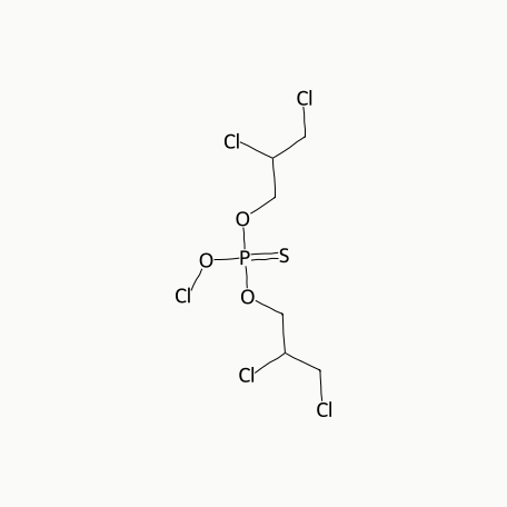 S=P(OCl)(OCC(Cl)CCl)OCC(Cl)CCl